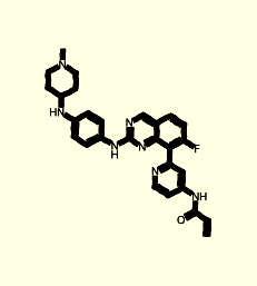 C=CC(=O)Nc1ccnc(-c2c(F)ccc3cnc(Nc4ccc(NC5CCN(C)CC5)cc4)nc23)c1